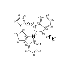 C1=CC[C]([Zr+2][CH]2C(n3c4c(c5ccccc53)CCC4)=Cc3ccccc32)=C1.[F-].[F-]